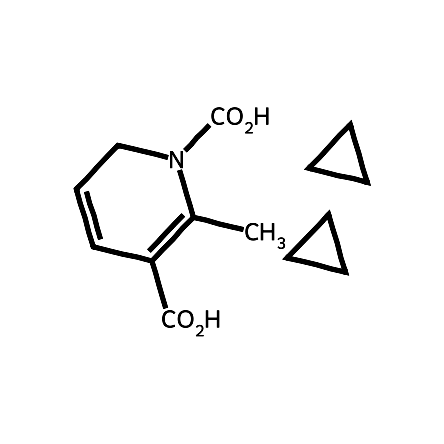 C1CC1.C1CC1.CC1=C(C(=O)O)C=CCN1C(=O)O